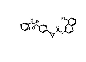 CCc1cccc2ccc(NC(=O)[C@@H]3CC3c3ccc(S(=O)(=O)Nc4ccccn4)cc3)cc12